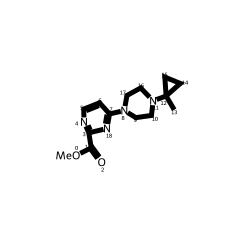 COC(=O)c1nccc(N2CCN(C3(C)CC3)CC2)n1